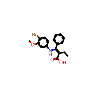 CCC(C(=O)O)=C(Nc1ccc(Br)c(OC)c1)c1ccccc1